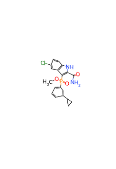 COP(=O)(c1cccc(C2CC2)c1)c1c(C(N)=O)[nH]c2ccc(Cl)cc12